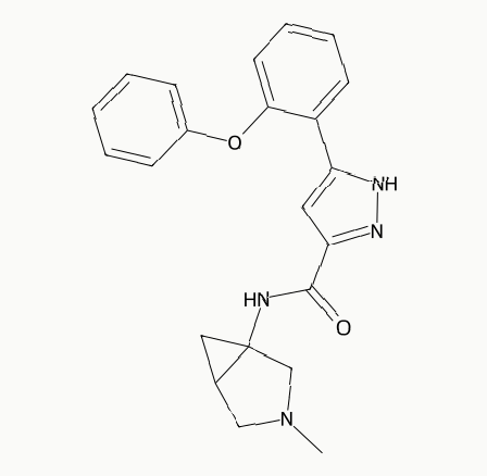 CN1CC2CC2(NC(=O)c2cc(-c3ccccc3Oc3ccccc3)[nH]n2)C1